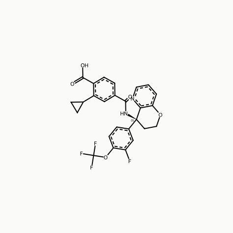 O=C(N[C@]1(c2ccc(OC(F)(F)F)c(F)c2)CCOc2cccnc21)c1ccc(C(=O)O)c(C2CC2)c1